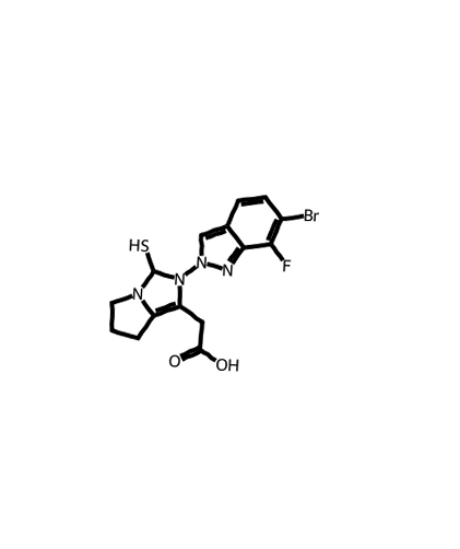 O=C(O)CC1=C2CCCN2C(S)N1n1cc2ccc(Br)c(F)c2n1